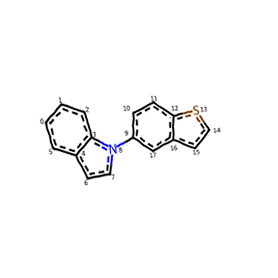 [c]1ccc2c(c1)ccn2-c1ccc2sccc2c1